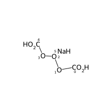 O=C(O)OOOC(=O)O.[NaH]